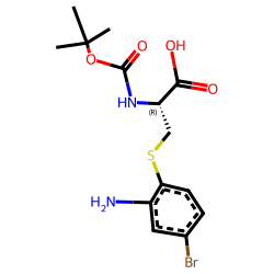 CC(C)(C)OC(=O)N[C@@H](CSc1ccc(Br)cc1N)C(=O)O